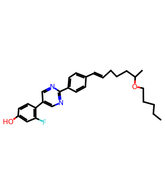 CCCCCOC(C)CCCC=Cc1ccc(-c2ncc(-c3ccc(O)cc3F)cn2)cc1